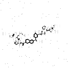 COC(=O)NC(C(=O)N1CCC[C@H]1c1ncc(-c2ccc3c(c2)C(C)c2ccc4cc(-c5cnc([C@@H]6CCCN6C(=O)C(NC(=O)OC)C(C)C)[nH]5)ccc4c2O3)[nH]1)C(C)C